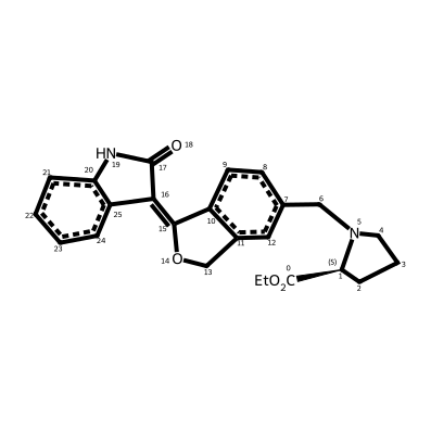 CCOC(=O)[C@@H]1CCCN1Cc1ccc2c(c1)COC2=C1C(=O)Nc2ccccc21